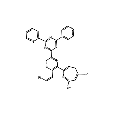 CC/C=C\c1ccc(-c2cc(-c3ccccc3)nc(-c3ccccn3)n2)nc1C1=CCC(C(C)C)=CC(C(C)C)=N1